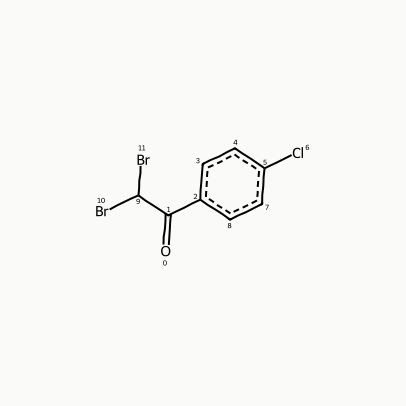 O=C(c1ccc(Cl)cc1)C(Br)Br